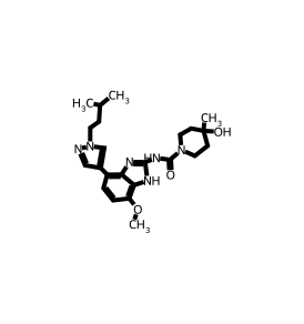 COc1ccc(-c2cnn(CCC(C)C)c2)c2nc(NC(=O)N3CCC(C)(O)CC3)[nH]c12